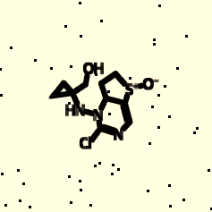 [O-][S+]1CCC2C1=CN=C(Cl)N2NC1(CO)CC1